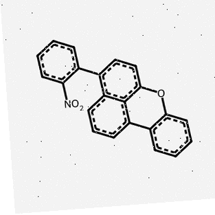 O=[N+]([O-])c1ccccc1-c1ccc2c3c(cccc13)-c1ccccc1O2